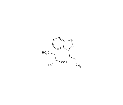 NCCc1c[nH]c2ccccc12.O=C(O)CC(O)C(=O)O